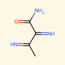 CC(=N)C(=N)C(N)=O